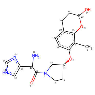 Cc1c(O[C@H]2CCN(C(=O)C(N)c3c[nH]cn3)C2)ccc2c1OB(O)CC2